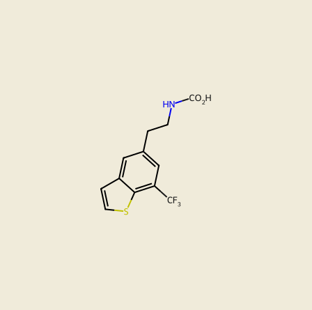 O=C(O)NCCc1cc(C(F)(F)F)c2sccc2c1